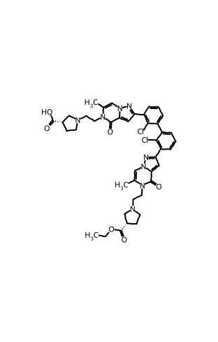 CCOC(=O)[C@H]1CCN(CCn2c(C)cn3nc(-c4cccc(-c5cccc(-c6cc7c(=O)n(CCN8CC[C@H](C(=O)O)C8)c(C)cn7n6)c5Cl)c4Cl)cc3c2=O)C1